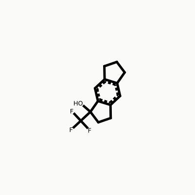 OC1(C(F)(F)F)CCc2cc3c(cc21)CCC3